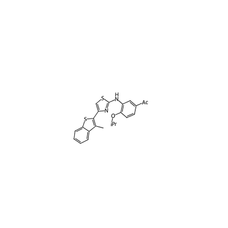 CC(=O)c1ccc(OC(C)C)c(Nc2nc(-c3sc4ccccc4c3C)cs2)c1